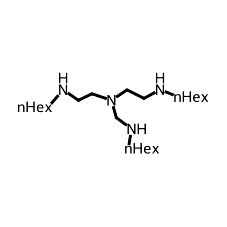 CCCCCCNCCN(CCNCCCCCC)CNCCCCCC